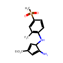 CCOC(=O)C1=CC(Nc2ccc(S(C)(=O)=O)cc2C(F)(F)F)C(N)=C1